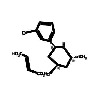 C[C@@H]1C[C@@H](Cl)C[C@H](c2cccc(Cl)c2)N1.O=C(O)C=CC(=O)O